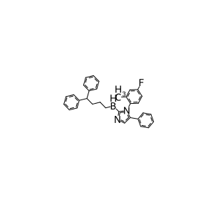 Cc1cc(F)ccc1-n1c(-c2ccccc2)cnc1BCCCC(c1ccccc1)c1ccccc1